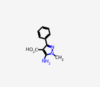 Cn1nc(-c2ccccc2)c(C(=O)O)c1N